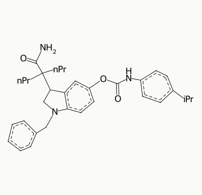 CCCC(CCC)(C(N)=O)C1CN(Cc2ccccc2)c2ccc(OC(=O)Nc3ccc(C(C)C)cc3)cc21